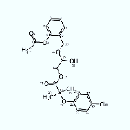 CC(=O)Oc1ccccc1COC(O)COC(=O)C(C)(C)Oc1ccc(Cl)cc1